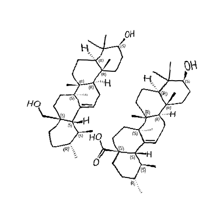 C[C@H]1[C@H](C)CC[C@]2(C(=O)O)CC[C@]3(C)C(=CC[C@@H]4[C@@]5(C)CC[C@H](O)C(C)(C)[C@@H]5CC[C@]43C)[C@H]12.C[C@H]1[C@H](C)CC[C@]2(CO)CC[C@]3(C)C(=CC[C@@H]4[C@@]5(C)CC[C@H](O)C(C)(C)[C@@H]5CC[C@]43C)[C@H]12